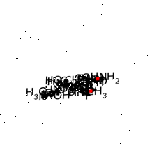 CCn1nccc1-c1ccc([C@H](CO)NC(=O)[C@@H]2C[C@@H](O)CN2C(=O)[C@H](C(C)C)n2cc3c(n2)c(=O)[nH]c2cc(COc4c(-c5c(C)c(F)cc6[nH]ncc56)c(C5CC5)cc5c(N6C[C@@H]7C[C@H]6CN7C(N)=O)nc(OC6CCOCC6)nc45)ccc23)cc1